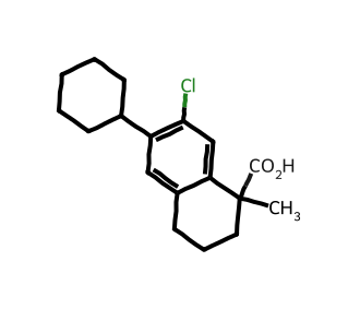 CC1(C(=O)O)CCCc2cc(C3CCCCC3)c(Cl)cc21